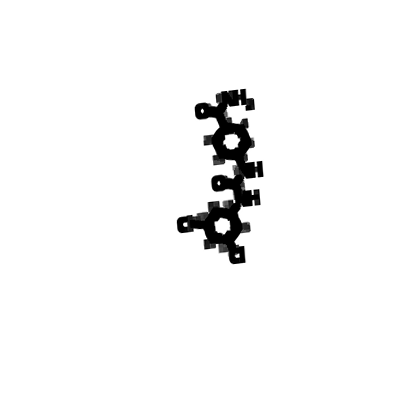 NC(=O)c1ccc(NC(=O)Nc2cc(Cl)cc(Cl)c2)cc1